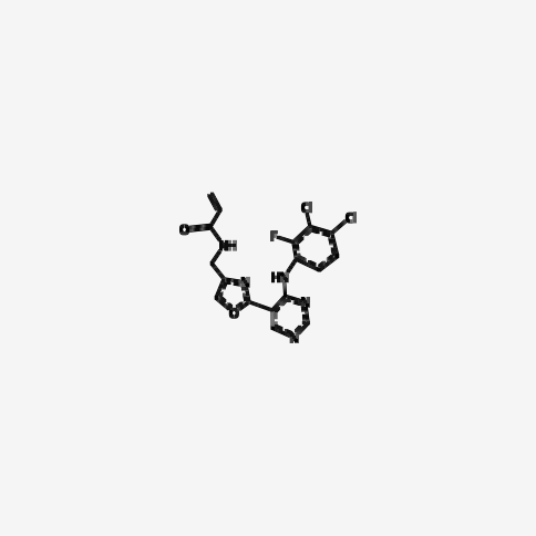 C=CC(=O)NCc1coc(-c2cncnc2Nc2ccc(Cl)c(Cl)c2F)n1